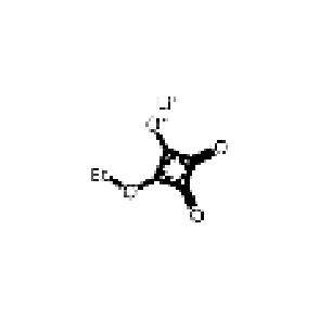 CCOc1c([O-])c(=O)c1=O.[Li+]